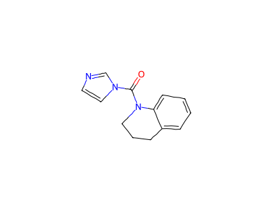 O=C(N1CCCc2ccccc21)n1ccnc1